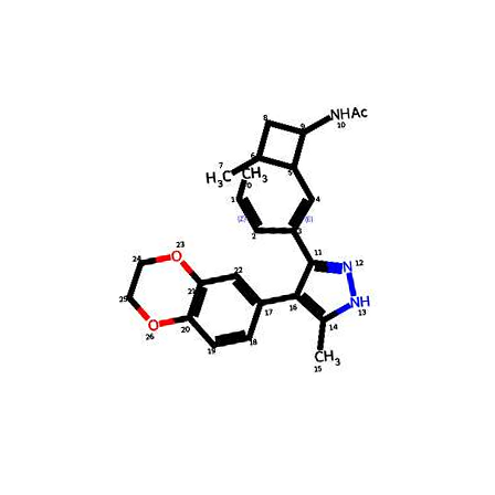 C/C=C\C(=C/C1C(C)CC1NC(C)=O)c1n[nH]c(C)c1-c1ccc2c(c1)OCCO2